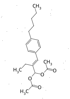 CCCCCc1ccc(/C=C(\CC)C(OC(C)=O)OC(C)=O)cc1